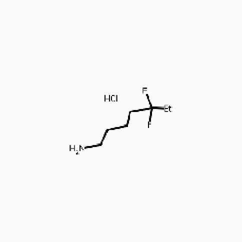 CCC(F)(F)CCCCN.Cl